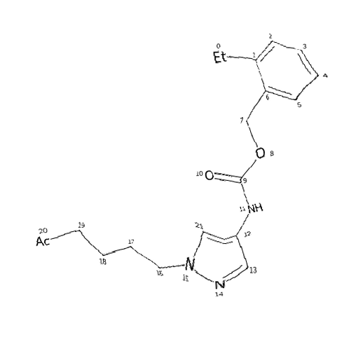 CCc1ccccc1COC(=O)Nc1cnn(CCCCC(C)=O)c1